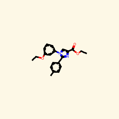 CCOC(=O)c1cn(-c2cccc(OCC)c2)c(-c2ccc(C)cc2)n1